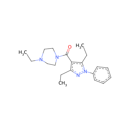 CCc1nn(-c2ccccc2)c(CC)c1C(=O)N1CCN(CC)CC1